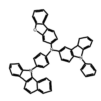 C1=CCC2C(=C1)N(c1ccccc1)c1ccc(N(c3ccc(-n4c5ccccc5c5ccc6ccccc6c54)cc3)c3ccc4c(c3)oc3ccccc34)cc12